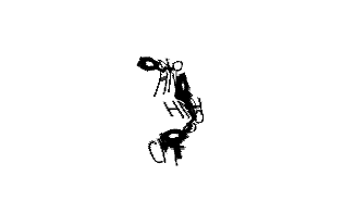 CN1c2ccccc2CC1C(=O)NC12CC(C1)[C@@H](NC(=O)COc1ccc(Cl)c(F)c1)C2